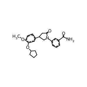 COc1ccc(C2CC(=O)N(c3cccc(C(N)=O)c3)C2)cc1OC1CCCC1